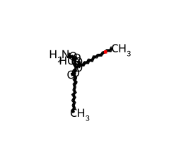 CCCCCCCCCCCC=CC=CC(=O)OC[C@H](COP(=O)(O)OCCN)OC(=O)C=CC=CCCCCCCCCCCC